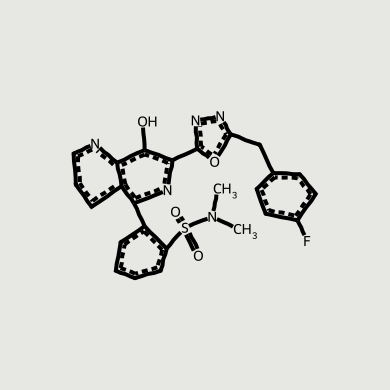 CN(C)S(=O)(=O)c1ccccc1-c1nc(-c2nnc(Cc3ccc(F)cc3)o2)c(O)c2ncccc12